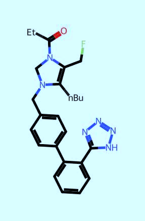 CCCCC1=C(CF)N(C(=O)CC)CN1Cc1ccc(-c2ccccc2-c2nnn[nH]2)cc1